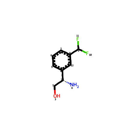 N[C@H](CO)c1cccc(C(F)F)c1